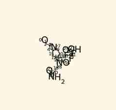 COCCCC1(N(C)C)CCC2(CC1)CC(=O)N(CCCC(N)=O)C2.O=C(O)C(F)(F)F